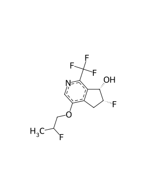 CC(F)COc1cnc(C(F)(F)F)c2c1C[C@@H](F)[C@H]2O